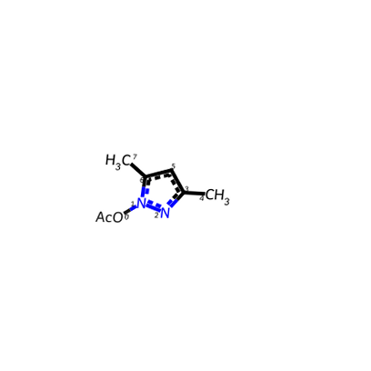 CC(=O)On1nc(C)cc1C